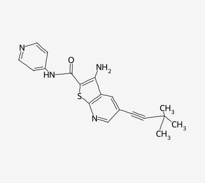 CC(C)(C)C#Cc1cnc2sc(C(=O)Nc3ccncc3)c(N)c2c1